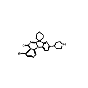 O=c1nc2n(c3cccc(Br)c13)-c1ccc(C3CCNCC3)cc1C21CCCCC1